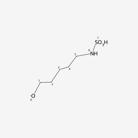 [O]CCCCCNS(=O)(=O)O